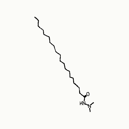 CCCCCCCCCCCCCCCCCCCC(=O)NN(C)C